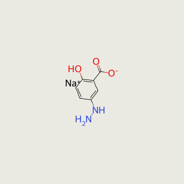 NNc1ccc(O)c(C(=O)[O-])c1.[Na+]